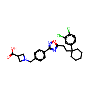 O=C(O)C1CN(Cc2ccc(-c3noc(CCC4(c5ccc(Cl)c(Cl)c5)CCCCC4)n3)cc2)C1